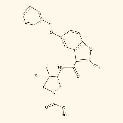 Cc1oc2ccc(OCc3ccccc3)cc2c1C(=O)NC1CN(C(=O)OC(C)(C)C)CC1(F)F